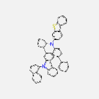 c1ccc(-c2ccc(N(c3ccc4c(c3)sc3ccccc34)c3ccccc3-c3ccc4c5ccccc5n(-c5cccc6ccccc56)c4c3)cc2)cc1